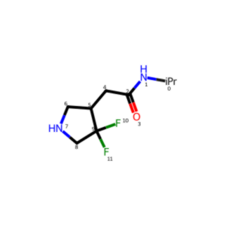 CC(C)NC(=O)CC1CNCC1(F)F